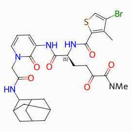 CNC(=O)C(=O)CC[C@H](NC(=O)c1scc(Br)c1C)C(=O)Nc1cccn(CC(=O)NC2C3CC4CC(C3)CC2C4)c1=O